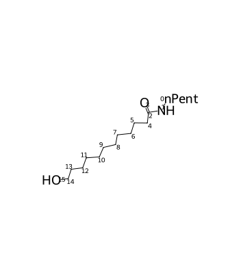 CCCCCNC(=O)CCCCCCCCCCCO